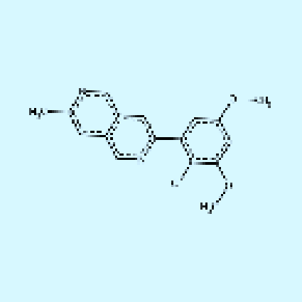 COc1cc(OC)c(Cl)c(-c2cc3cnc(C)cc3cn2)c1